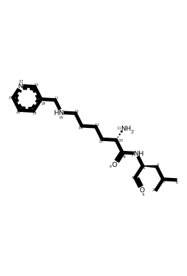 CC(C)C[C@@H]([C]=O)NC(=O)[C@@H](N)CCCCNCc1cccnc1